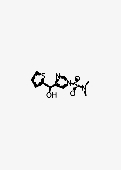 CN(C)S(=O)(=O)n1cnc(C(O)c2cccs2)c1